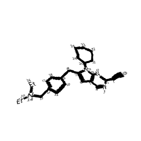 C#Cc1ncc2cc(Cc3ccc(CN(CC)CC)cc3)n(C3CCCCC3)c2n1